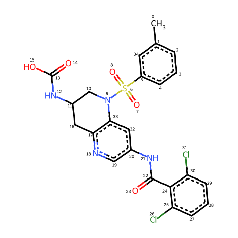 Cc1cccc(S(=O)(=O)N2CC(NC(=O)O)Cc3ncc(NC(=O)c4c(Cl)cccc4Cl)cc32)c1